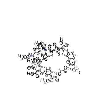 CCN(Cc1cc[n+](CC2=C(C(=O)O)N3C(=O)C(NC(=O)/C(=N\OC)c4csc(N)n4)C3SC2)cc1)C(=O)COCCOCC(=O)N(CC)c1ccc[n+](CC2=C(C(=O)O)N3C(=O)C(NC(=O)/C(=N\OC)c4csc(N)n4)C3SC2)c1